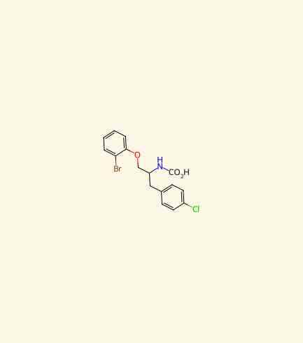 O=C(O)NC(COc1ccccc1Br)Cc1ccc(Cl)cc1